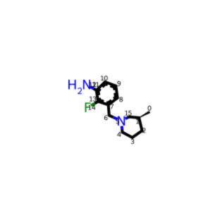 C[C@H]1CCCN(Cc2cccc(N)c2F)C1